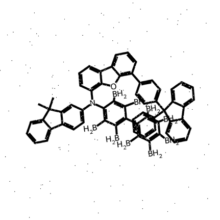 Bc1c(B)c(B)c(-c2c(B)c(B)c(N(c3ccc4c(c3)C(C)(C)c3ccccc3-4)c3cccc4c3oc3c(-c5ccc(C6(c7ccccc7)c7ccccc7-c7ccccc76)cc5)cccc34)c(B)c2B)c(B)c1B